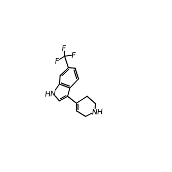 FC(F)(F)c1ccc2c(C3=CCNCC3)c[nH]c2c1